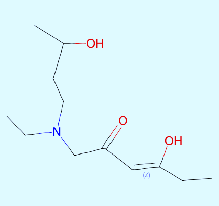 CC/C(O)=C/C(=O)CN(CC)CCC(C)O